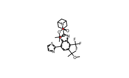 COC(C)(C)c1cc(-c2nccs2)c2oc(N3CC4CC(C3)N4C(=O)OC(C)(C)C)nc2c1C(F)(F)F